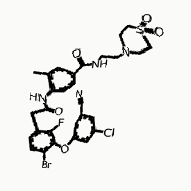 Cc1cc(C(=O)NCCN2CCS(=O)(=O)CC2)ccc1NC(=O)Cc1ccc(Br)c(Oc2cc(Cl)cc(C#N)c2)c1F